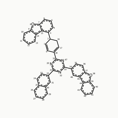 C1=CC(c2cccc3oc4ccccc4c23)CC=C1c1nc(-c2ccc3ccccc3c2)nc(-c2ccc3oc4ccccc4c3c2)n1